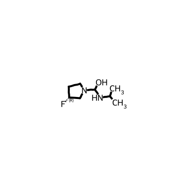 CC(C)NC(O)N1CC[C@@H](F)C1